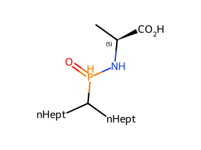 CCCCCCCC(CCCCCCC)[PH](=O)N[C@@H](C)C(=O)O